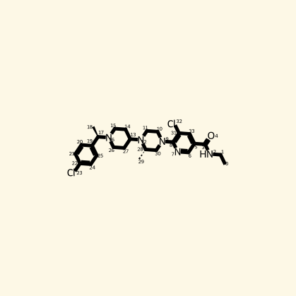 CCNC(=O)c1cnc(N2CCN(C3CCN([C@H](C)c4ccc(Cl)cc4)CC3)[C@@H](C)C2)c(Cl)c1